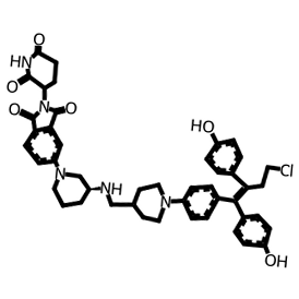 O=C1CCC(N2C(=O)c3ccc(N4CCC[C@H](NCC5CCN(c6ccc(C(=C(CCCl)c7ccc(O)cc7)c7ccc(O)cc7)cc6)CC5)C4)cc3C2=O)C(=O)N1